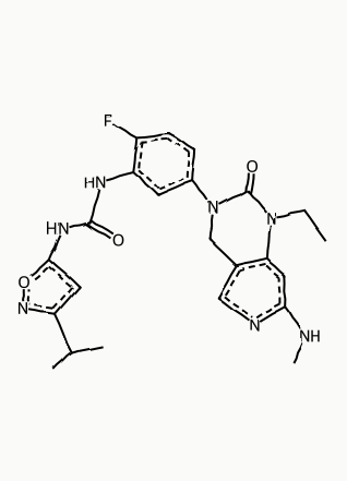 CCN1C(=O)N(c2ccc(F)c(NC(=O)Nc3cc(C(C)C)no3)c2)Cc2cnc(NC)cc21